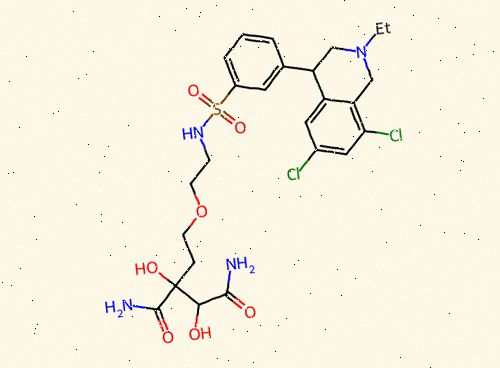 CCN1Cc2c(Cl)cc(Cl)cc2C(c2cccc(S(=O)(=O)NCCOCCC(O)(C(N)=O)C(O)C(N)=O)c2)C1